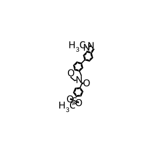 Cn1ncc2ccc(-c3ccc4c(c3)CN(C(=O)c3ccc(S(C)(=O)=O)cc3)CCO4)cc21